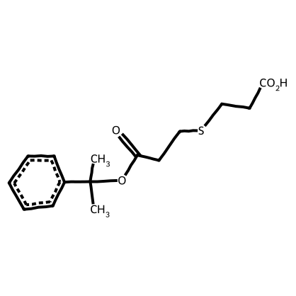 CC(C)(OC(=O)CCSCCC(=O)O)c1ccccc1